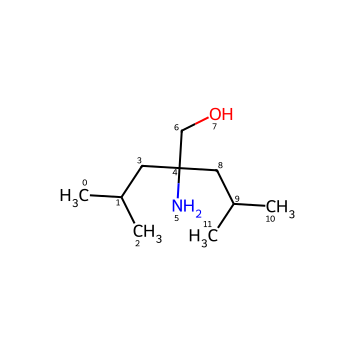 CC(C)CC(N)(CO)CC(C)C